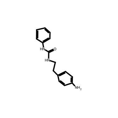 Nc1ccc(CCNC(=O)Nc2ccccc2)cc1